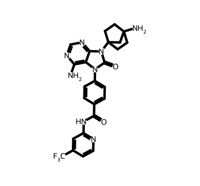 Nc1ncnc2c1n(-c1ccc(C(=O)Nc3cc(C(F)(F)F)ccn3)cc1)c(=O)n2C12CCC(N)(CC1)C2